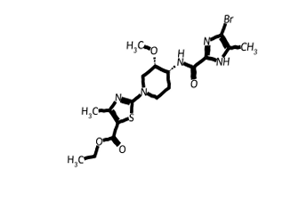 CCOC(=O)c1sc(N2CC[C@@H](NC(=O)c3nc(Br)c(C)[nH]3)[C@@H](OC)C2)nc1C